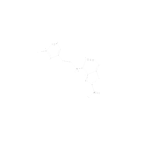 NC(=O)c1nc2cccc(C(=O)NCc3cccc(F)c3)c2[nH]1